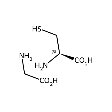 NCC(=O)O.N[C@@H](CS)C(=O)O